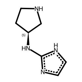 c1c[nH]c(N[C@H]2CCNC2)n1